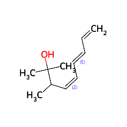 C=C/C=C/C=C\C(C)C(C)(C)O